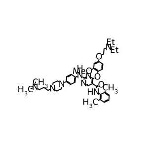 CCN(CC)CCOc1ccc(Oc2nc(Nc3ccc(N4CCN(CCCN(C)C)CC4)cc3)ncc2C(=O)Nc2c(C)cccc2C)c(OC)c1